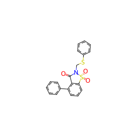 O=C1c2c(-c3ccccc3)cccc2S(=O)(=O)N1CSc1ccccc1